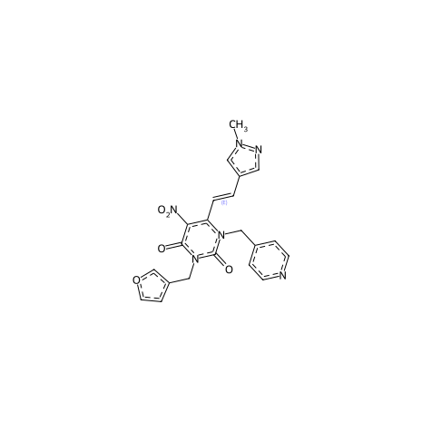 Cn1cc(/C=C/c2c([N+](=O)[O-])c(=O)n(Cc3ccoc3)c(=O)n2Cc2ccncc2)cn1